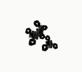 c1ccc(-c2nc(-c3ccccc3)nc(-c3cccc(-c4ccc5c(c4)n4c6c7ccccc7n(-c7ccccc7)c6nc4n5-c4nc(-c5ccccc5)nc(-c5ccccc5)n4)c3)n2)cc1